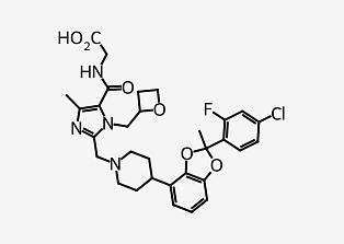 Cc1nc(CN2CCC(c3cccc4c3OC(C)(c3ccc(Cl)cc3F)O4)CC2)n(CC2CCO2)c1C(=O)NCC(=O)O